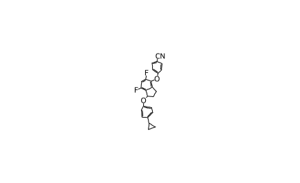 N#Cc1ccc(Oc2c(F)cc(F)c3c2CCC3Oc2ccc(C3CC3)cc2)cc1